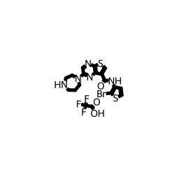 O=C(Nc1ccsc1Br)c1csc2ncc(N3CCCNCC3)nc12.O=C(O)C(F)(F)F